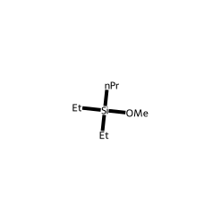 [CH2]CC[Si](CC)(CC)OC